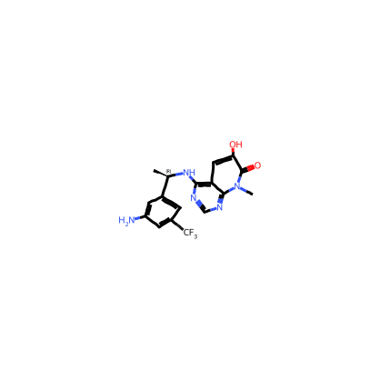 C[C@@H](Nc1ncnc2c1cc(O)c(=O)n2C)c1cc(N)cc(C(F)(F)F)c1